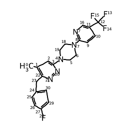 Cc1cc(N2CCN(c3ccc(C(F)(F)F)cn3)CC2)nnc1Cc1ccc(F)cc1